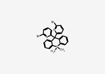 CS1(C)c2ccccc2C(c2cccc(Br)n2)(c2cccc(Br)n2)c2ccccc21